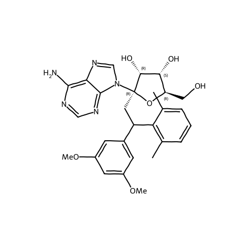 COc1cc(OC)cc(C(C[C@@]2(n3cnc4c(N)ncnc43)O[C@H](CO)[C@@H](O)[C@H]2O)c2c(C)cccc2C)c1